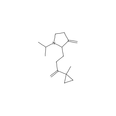 C=C1CCN(C(C)C)C1CCC(=C)C1(C)CC1